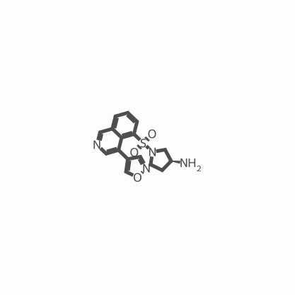 N[C@H]1CCN(S(=O)(=O)c2cccc3cncc(-c4cnoc4)c23)C1